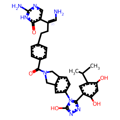 CC(C)c1cc(-c2nnc(O)n2-c2ccc3c(c2)CN(C(=O)c2ccc(CC/C(=C/N)c4cnc(N)[nH]c4=O)cc2)C3)c(O)cc1O